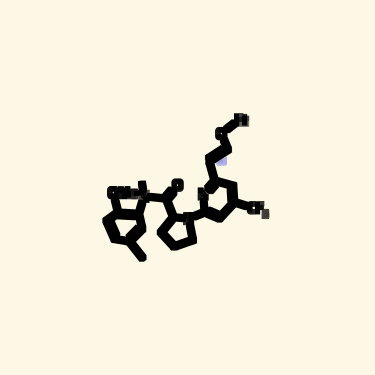 CCO/C=C/c1cc(C(F)(F)F)cc(N2CCCC2C(=O)N(C)c2cc(C)ccc2OC)n1